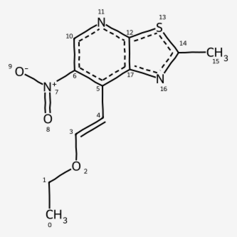 CCOC=Cc1c([N+](=O)[O-])cnc2sc(C)nc12